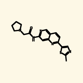 Cc1ncc(-c2ccc3cnc(NC(=O)CN4CCCC4)cc3n2)s1